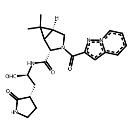 CC1(C)C2[C@@H](C(=O)N[C@H](C=O)C[C@@H]3CCNC3=O)N(C(=O)c3cc4ccccn4n3)C[C@@H]21